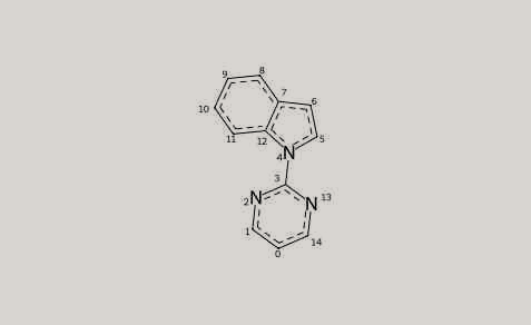 c1cnc(-n2ccc3ccccc32)nc1